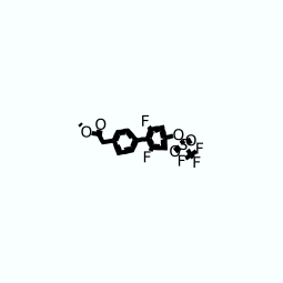 COC(=O)Cc1ccc(-c2c(F)cc(OS(=O)(=O)C(F)(F)F)cc2F)cc1